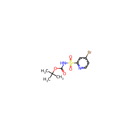 CC(C)(C)OC(=O)NS(=O)(=O)c1cc(Br)ccn1